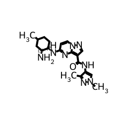 Cc1nn(C)cc1NC(=O)c1cnn2ccc(N[C@@H]3CCC(C)C[C@@H]3N)nc12